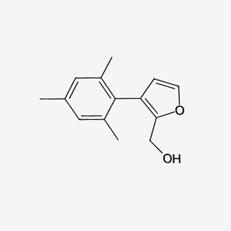 Cc1cc(C)c(-c2ccoc2CO)c(C)c1